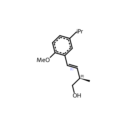 COc1ccc(C(C)C)cc1/C=C/[C@@H](C)CO